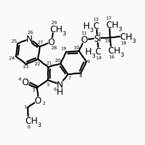 CCOC(=O)c1[nH]c2ccc(O[Si](C)(C)C(C)(C)C)cc2c1-c1cccnc1OC